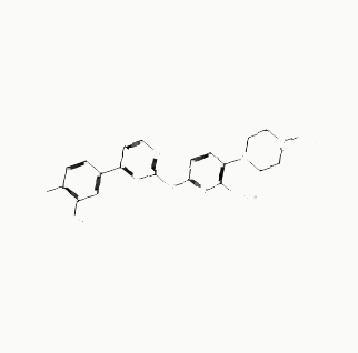 COc1nc(Nc2nccc(-c3ccc(F)c(C#N)c3)n2)ccc1N1CCN(C)CC1